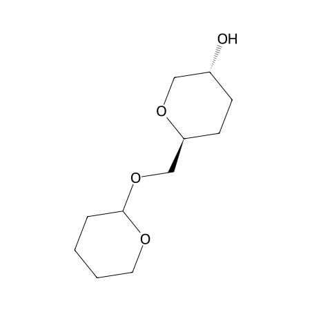 O[C@@H]1CC[C@@H](COC2CCCCO2)OC1